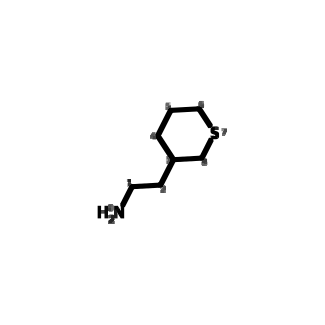 NCCC1CCCSC1